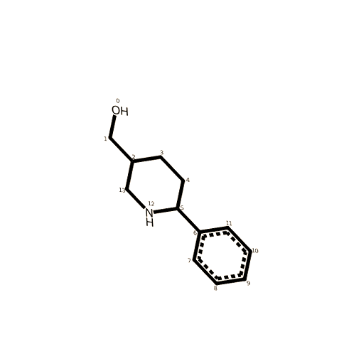 OCC1CCC(c2ccccc2)NC1